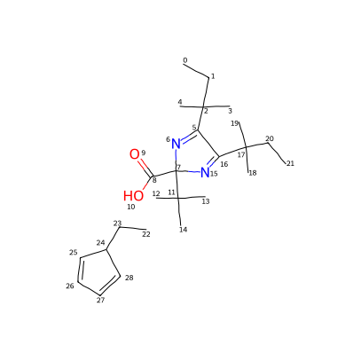 CCC(C)(C)C1=NC(C(=O)O)(C(C)(C)C)N=C1C(C)(C)CC.CCC1C=CC=C1